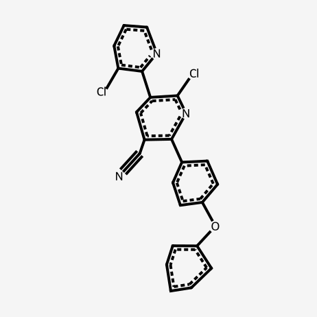 N#Cc1cc(-c2ncccc2Cl)c(Cl)nc1-c1ccc(Oc2ccccc2)cc1